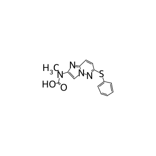 CN(C(=O)O)c1cn2nc(Sc3ccccc3)ccc2n1